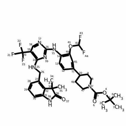 CC(C)(C)OC(=O)N1CCC(c2ccc(Nc3ncc(C(F)(F)F)c(NCc4cccc5c4C(C)(C)C(=O)N5)n3)c(OC(F)F)c2)CC1